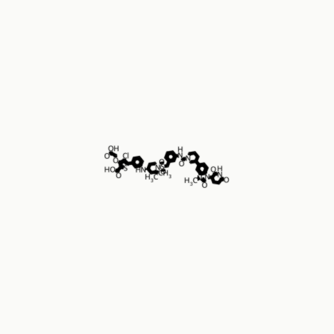 Cn1c(=O)n(C2CCC(=O)NC2=O)c2ccc(C3CCCN(C(=O)Nc4cccc(CS(=O)(=O)N5CC[C@H](Nc6cccc(-c7sc(C(=O)O)c(OCC(=O)O)c7Cl)c6)CC5(C)C)c4)C3)cc21